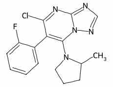 CC1CCCN1c1c(-c2ccccc2F)c(Cl)nc2ncnn12